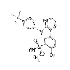 CNS(=O)(=O)c1cc(-c2nccnc2Nc2ccc(C(F)(F)F)cc2)ccc1O